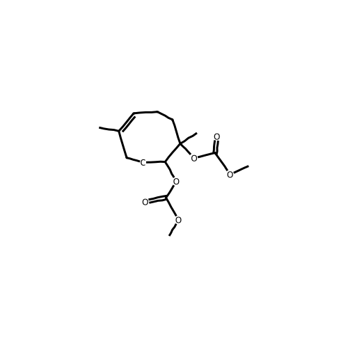 COC(=O)OC1CCC(C)=CCCC1(C)OC(=O)OC